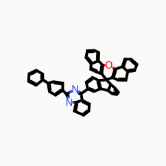 C1=CC2c3cc(-c4nc(-c5ccc(-c6ccccc6)cc5)nc5ccccc45)ccc3C3(c4ccc5ccccc5c4Oc4c3ccc3ccccc43)C2C=C1